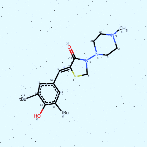 CN1CCN(N2CS/C(=C\c3cc(C(C)(C)C)c(O)c(C(C)(C)C)c3)C2=O)CC1